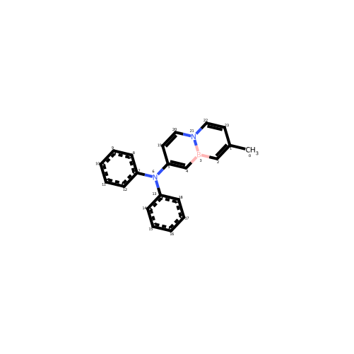 CC1=CB2C=C(N(c3ccccc3)c3ccccc3)C=CN2C=C1